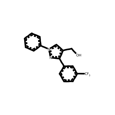 OCc1cn(-c2ccccc2)nc1-c1cccc(C(F)(F)F)c1